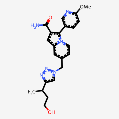 COc1ccc(-c2c(C(N)=O)cc3cc(Cn4cc(C(CCO)C(F)(F)F)nn4)ccn23)cn1